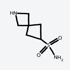 NS(=O)(=O)C1CC2(CNC2)C1